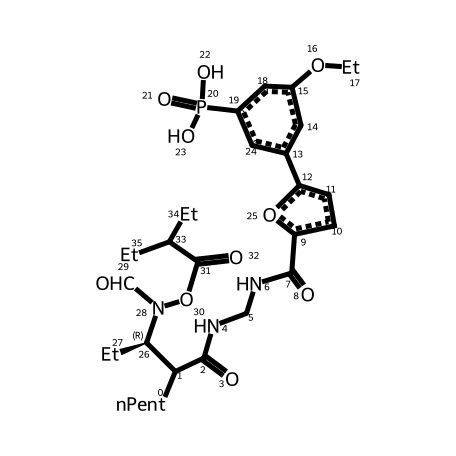 CCCCCC(C(=O)NCNC(=O)c1ccc(-c2cc(OCC)cc(P(=O)(O)O)c2)o1)[C@@H](CC)N(C=O)OC(=O)C(CC)CC